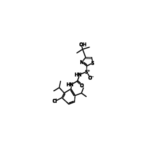 CC(C)c1ccc(Cl)c(C(C)C)c1NC(=O)N[S+]([O-])c1nc(C(C)(C)O)cs1